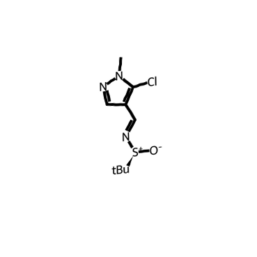 Cn1ncc(C=N[S@@+]([O-])C(C)(C)C)c1Cl